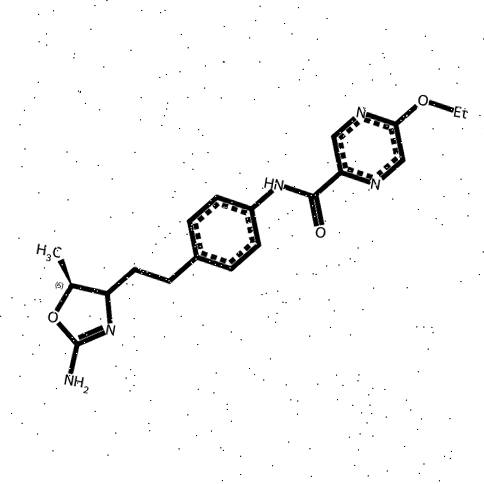 CCOc1cnc(C(=O)Nc2ccc(CCC3N=C(N)O[C@H]3C)cc2)cn1